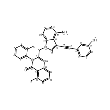 Cc1ccccc1-n1c(Cn2nc(C#Cc3cccc(O)c3)c3c(N)ncnc32)nc2cccc(C)c2c1=O